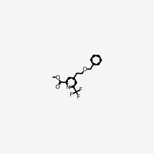 COC(=O)c1cc(CCOCc2ccccc2)cc(C(F)(F)F)n1